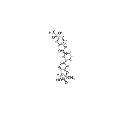 CC(C)(Oc1cccc(C2CCCN(C(=O)Cc3ccc(S(C)(=O)=O)cc3)C2)c1)C(=O)O